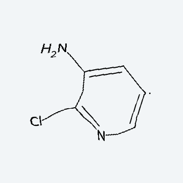 Nc1c[c]cnc1Cl